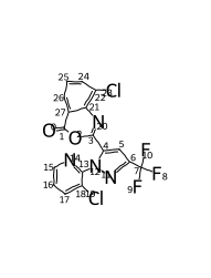 O=c1oc(-c2cc(C(F)(F)F)nn2-c2ncccc2Cl)nc2c(Cl)cccc12